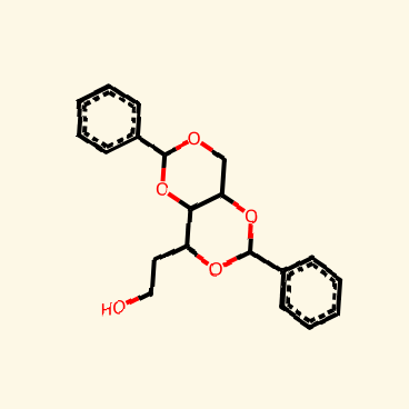 OCCC1OC(c2ccccc2)OC2COC(c3ccccc3)OC12